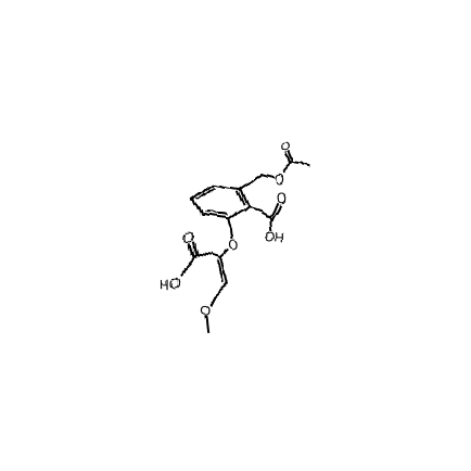 COC=C(Oc1cccc(COC(C)=O)c1C(=O)O)C(=O)O